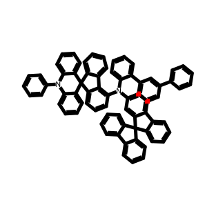 c1ccc(-c2cccc(-c3ccccc3N(c3ccc4c(c3)C3(c5ccccc5-c5ccccc53)c3ccccc3-4)c3cccc4c3-c3ccccc3C43c4ccccc4N(c4ccccc4)c4ccccc43)c2)cc1